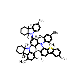 Cc1cc(C)c2c3c1B1c4ccc5c(sc6ccc(C(C)(C)C)cc65)c4N(c4c(C)cc(C(C)(C)C)cc4C)c4cc(N5c6ccc(C(C)(C)C)cc6C6(C)CCCCC56C)cc(c41)N3C1(C)CCCCC21C